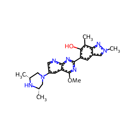 COc1nc(-c2cc3cn(C)nc3c(C)c2O)nc2ncc(N3C[C@@H](C)N[C@@H](C)C3)cc12